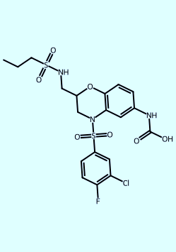 CCCS(=O)(=O)NCC1CN(S(=O)(=O)c2ccc(F)c(Cl)c2)c2cc(NC(=O)O)ccc2O1